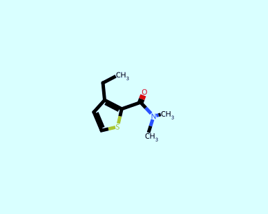 CCc1ccsc1C(=O)N(C)C